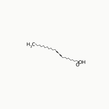 CCCCCCCCCCCCC#CC#CCCCCCCCCC(=O)O